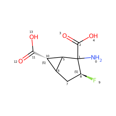 NC1(C(=O)O)C2C(C[C@@H]1F)[C@@H]2C(=O)O